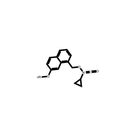 CCCOc1ccc2cccc(CO[N+](=C=O)C3CC3)c2c1